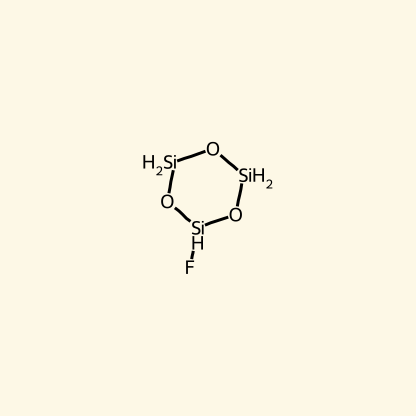 F[SiH]1O[SiH2]O[SiH2]O1